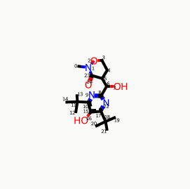 CN1OCCC(C(O)c2nc(C(C)(C)C)c(O)c(C(C)(C)C)n2)C1=O